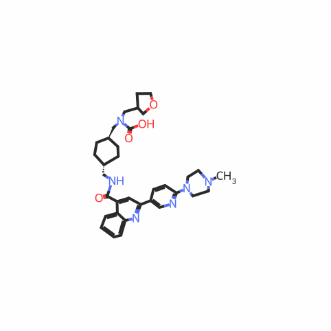 CN1CCN(c2ccc(-c3cc(C(=O)NC[C@H]4CC[C@H](CN(CC5CCOC5)C(=O)O)CC4)c4ccccc4n3)cn2)CC1